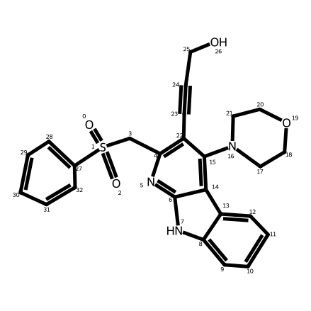 O=S(=O)(Cc1nc2[nH]c3ccccc3c2c(N2CCOCC2)c1C#CCO)c1ccccc1